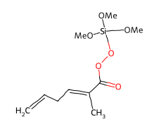 C=CCC=C(C)C(=O)OO[Si](OC)(OC)OC